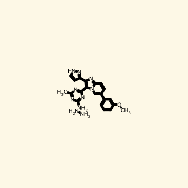 COc1cccc(-c2ccc3nc(-c4cc[nH]n4)c(-c4nc(C)nc(N)n4)n3c2)c1.NN